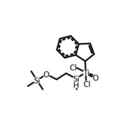 C[SiH](CCO[Si](C)(C)C)[Ti](=[O])([Cl])([Cl])[CH]1C=Cc2ccccc21